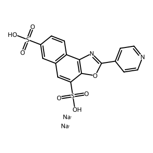 O=S(=O)(O)c1ccc2c(c1)cc(S(=O)(=O)O)c1oc(-c3ccncc3)nc12.[Na].[Na]